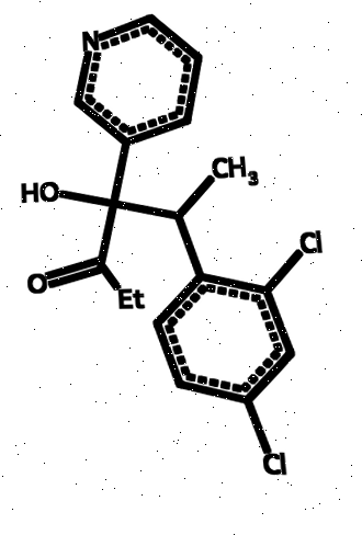 CCC(=O)C(O)(c1cccnc1)C(C)c1ccc(Cl)cc1Cl